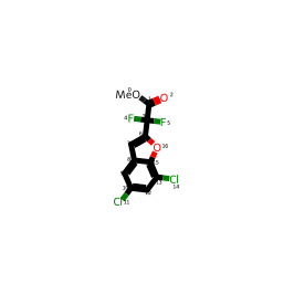 COC(=O)C(F)(F)c1cc2cc(Cl)cc(Cl)c2o1